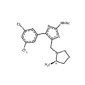 CC(=O)Nc1nc(-c2cc(Cl)cc(C(F)(F)F)c2)c(CN2CCC[C@H]2C)s1